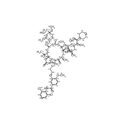 CC[C@H]1OC(=O)[C@H](C)[C@@H](O[C@H]2C[C@@](C)(OC)[C@@H](O)[C@H](C)O2)[C@H](C)[C@@H](OC2O[C@H](C)C[C@H](N(C)C(=O)N3CCOCC3)[C@H]2O)[C@](C)(OC)C[C@@H](C)C(=O)[C@H](C)[C@H]2[C@H](SCCOc3cc(C(=O)Nc4c(Cl)cncc4Cl)ccc3OC)C(=O)O[C@@]21C